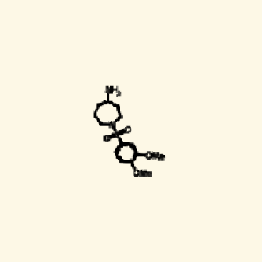 COc1ccc(S(=O)(=O)N2CCCC(N)CC2)cc1OC